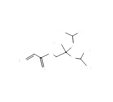 C=CC(=O)OCC([SiH3])(OC(C)C)OC(C)C